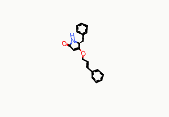 O=C1C=C(OC/C=C/c2ccccc2)[C@H](Cc2ccccc2)N1